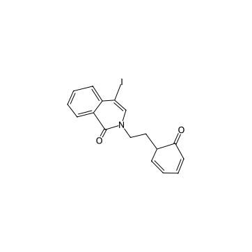 O=C1C=CC=CC1CCn1cc(I)c2ccccc2c1=O